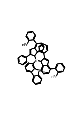 CCCc1ccccc1-c1cccc2c1C=C(c1ccccc1)[CH]2[Zr]([c]1cccc2c1[SiH2]c1ccccc1-2)[CH]1C(c2ccccc2)=Cc2c(-c3ccccc3CCC)cccc21